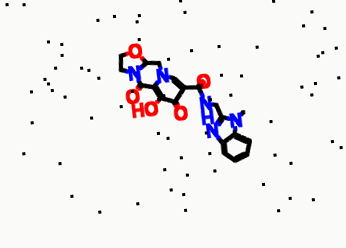 Cn1c(CNC(=O)c2cn3c(c(O)c2=O)C(=O)N2CCOC2C3)nc2ccccc21